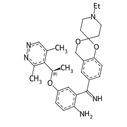 CCN1CCC2(CC1)OCc1cc(C(=N)c3cc(O[C@H](C)c4c(C)cnnc4C)ccc3N)ccc1O2